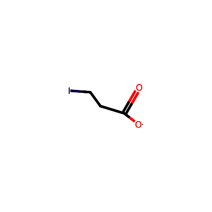 [O]C(=O)CCI